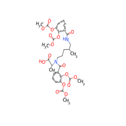 COC(=O)Oc1cccc(C(=O)NCC(C)CCCN(C(=O)c2cccc(OC(=O)OC)c2OC(=O)OC)C(C)C(=O)O)c1OC(=O)OC